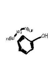 CCC[CH2][Mg][CH2]CCC.Oc1ccccc1